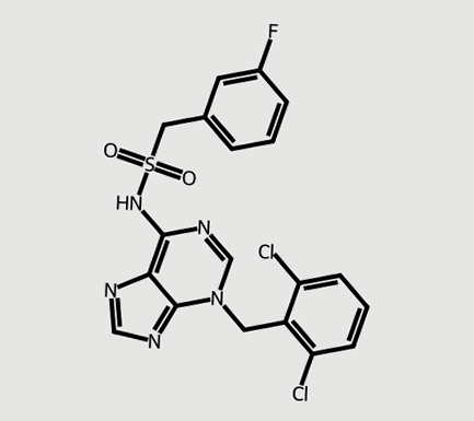 O=S(=O)(Cc1cccc(F)c1)Nc1ncn(Cc2c(Cl)cccc2Cl)c2ncnc1-2